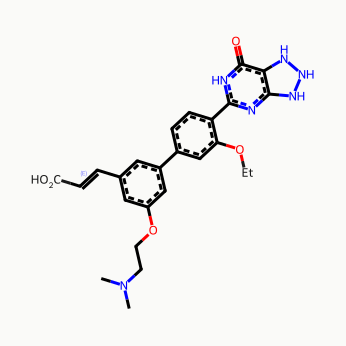 CCOc1cc(-c2cc(/C=C/C(=O)O)cc(OCCN(C)C)c2)ccc1-c1nc2c(c(=O)[nH]1)NNN2